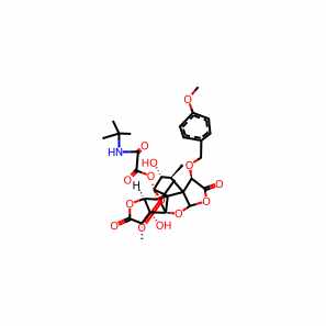 COc1ccc(CO[C@H]2C(=O)OC3O[C@@]45C(=O)OC6[C@H](O)[C@@H](C)C32C64[C@@H](OC(=O)C(=O)NC(C)(C)C)[C@@H]2OC(=O)[C@@H](C)[C@@]25O)cc1